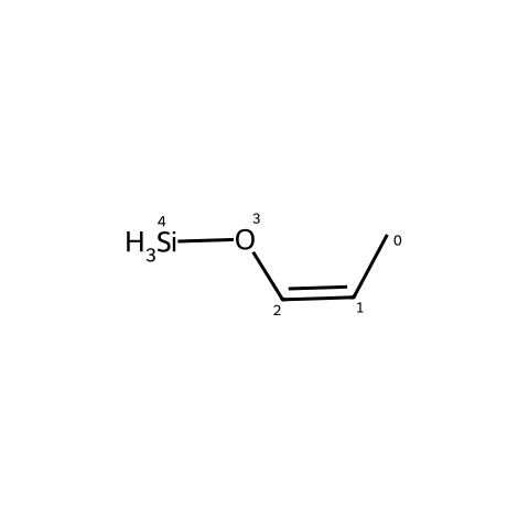 C/C=C\O[SiH3]